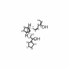 C/C=C(/O)C/C=C\C[C@@H]1[C@H](CCC(O)C2CCCC2)[C@@H]2CC[C@H]1O2